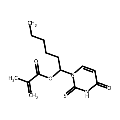 C=C(C)C(=O)OC(CCCCC)n1ccc(=O)[nH]c1=S